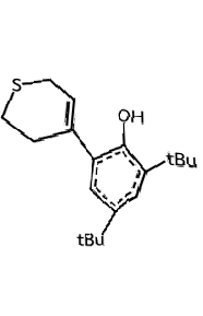 CC(C)(C)c1cc(C2=CCSCC2)c(O)c(C(C)(C)C)c1